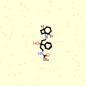 CC(C)(C)C(=O)NCCC(O)(CC[N@]1[C@H]2CCC[C@@H]3CCC321)c1ccccc1